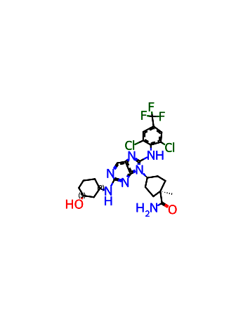 C[C@]1(C(N)=O)CC[C@@H](n2c(Nc3c(Cl)cc(C(F)(F)F)cc3Cl)nc3cnc(N[C@@H]4CCC[C@H](O)C4)nc32)CC1